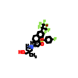 CC(C)(CO)CN[C@@H]1CC[C@@]2(S(=O)(=O)c3ccc(F)cc3)c3ccc(C(F)(C(F)(F)F)C(F)(F)F)cc3CC[C@@H]12